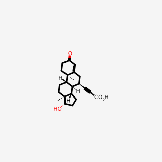 C[C@]12CC[C@H]3[C@@H]([C@H](C#CC(=O)O)CC4=CC(=O)CC[C@@]43C)[C@@H]1CC[C@@H]2O